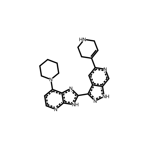 C1=C(c2cc3c(-c4nc5c(N6CCCCC6)ccnc5[nH]4)n[nH]c3cn2)CCNC1